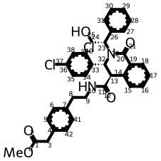 COC(=O)Cc1ccc(CCNC(=O)[C@@H]2c3ccccc3C(=O)N([C@H](CO)c3ccccc3)[C@H]2c2ccc(Cl)cc2Cl)cc1